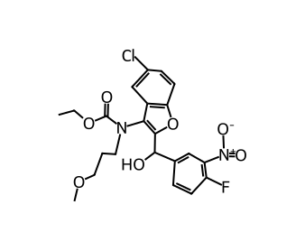 CCOC(=O)N(CCCOC)c1c(C(O)c2ccc(F)c([N+](=O)[O-])c2)oc2ccc(Cl)cc12